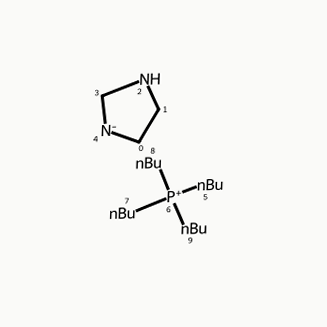 C1CNC[N-]1.CCCC[P+](CCCC)(CCCC)CCCC